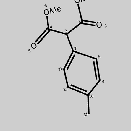 COC(=O)C(C(=O)OC)c1ccc(C)cc1